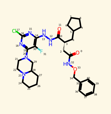 O=C(C[C@@H](CC1CCCC1)C(=O)NNc1nc(Cl)nc(N2CCN3CCCCC3C2)c1F)NOCc1ccccc1